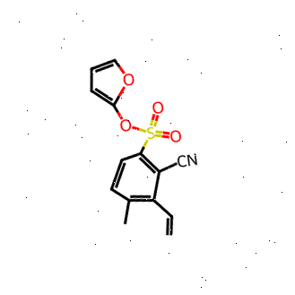 C=Cc1c(C)ccc(S(=O)(=O)Oc2ccco2)c1C#N